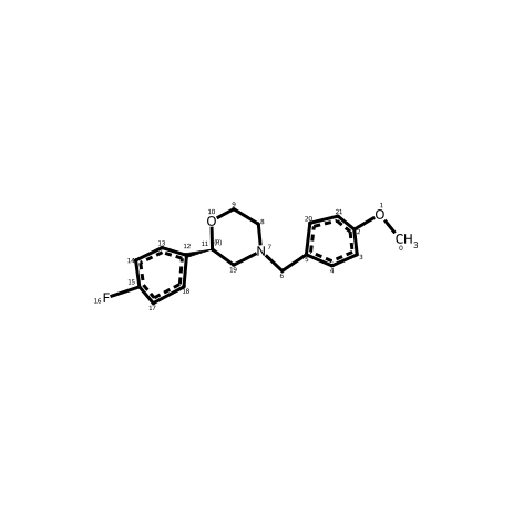 COc1ccc(CN2CCO[C@H](c3ccc(F)cc3)C2)cc1